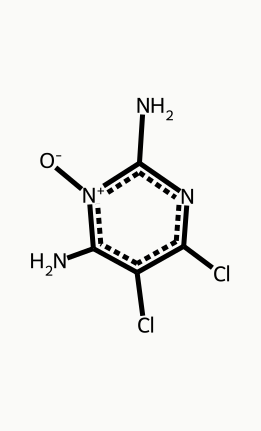 Nc1nc(Cl)c(Cl)c(N)[n+]1[O-]